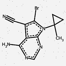 CC1(n2c(Br)c(C#N)c3c(N)ncnc32)CC1